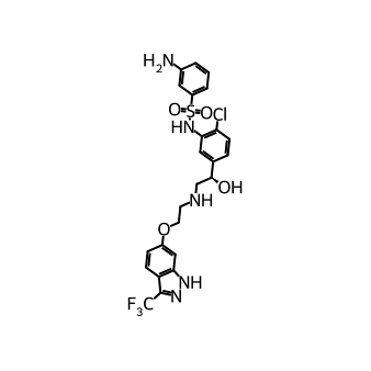 Nc1cccc(S(=O)(=O)Nc2cc([C@@H](O)CNCCOc3ccc4c(C(F)(F)F)n[nH]c4c3)ccc2Cl)c1